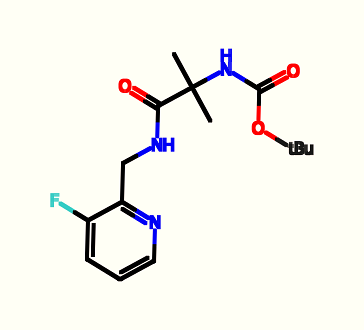 CC(C)(C)OC(=O)NC(C)(C)C(=O)NCc1ncccc1F